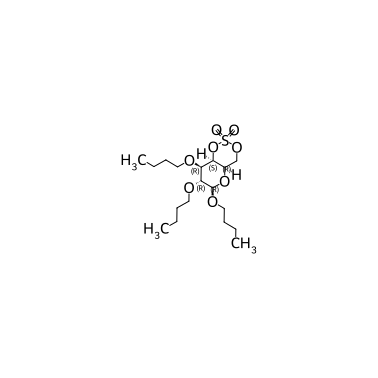 CCCCO[C@@H]1O[C@@H]2COS(=O)(=O)O[C@@H]2[C@H](OCCCC)[C@H]1OCCCC